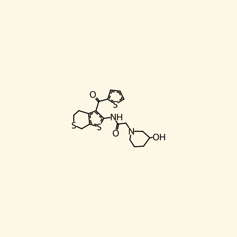 O=C(CN1CCCC(O)C1)Nc1sc2c(c1C(=O)c1cccs1)CCSC2